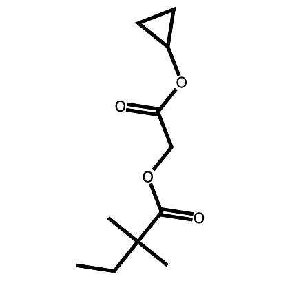 CCC(C)(C)C(=O)OCC(=O)OC1CC1